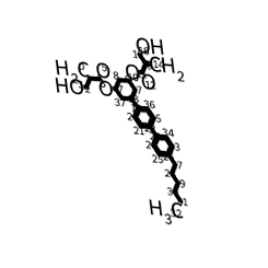 C=C(CO)C(=O)OC1CC(OC(=O)C(=C)CO)CC(c2ccc(-c3ccc(CCCCCC)cc3)cc2)C1